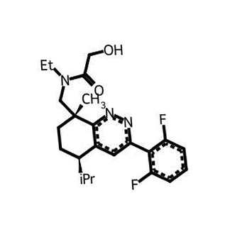 CCN(C[C@@]1(C)CC[C@H](C(C)C)c2cc(-c3c(F)cccc3F)nnc21)C(=O)CO